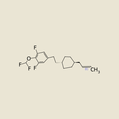 C/C=C/C[C@H]1CC[C@H](CCc2cc(F)c(OC(F)F)c(F)c2)CC1